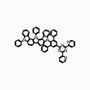 c1ccc(-c2cc(-c3nc(-c4ccccn4)nc(-c4ccccn4)n3)cc(-c3ccccc3)c2-n2c3ccccc3c3c2ccc2c4ccc5c(c6ccccc6n5-c5ccccc5)c4n(-c4ccccc4)c23)cc1